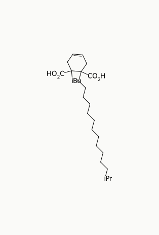 CCC(C)C1(C(=O)O)CC=CCC1(CCCCCCCCCCCCC(C)C)C(=O)O